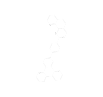 c1cnc2c(c1)ccc1ccc(-c3ccc(-c4ccc5c6ccccc6c6ccccc6c5c4)cc3)nc12